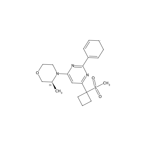 C[C@H]1COCCN1c1cc(C2(S(C)(=O)=O)CCC2)nc(C2=CC[CH]C=C2)n1